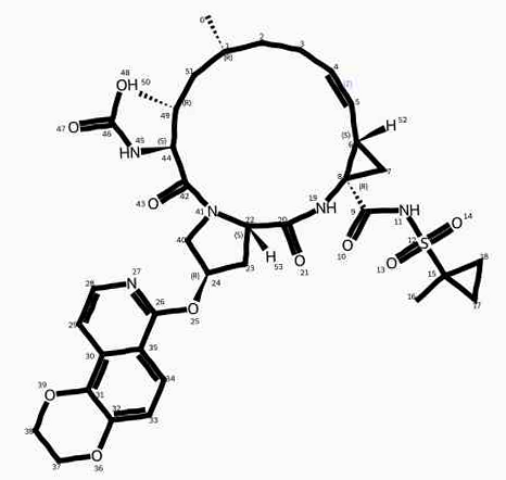 C[C@@H]1CC/C=C\[C@@H]2C[C@@]2(C(=O)NS(=O)(=O)C2(C)CC2)NC(=O)[C@@H]2C[C@@H](Oc3nccc4c5c(ccc34)OCCO5)CN2C(=O)[C@@H](NC(=O)O)[C@H](C)C1